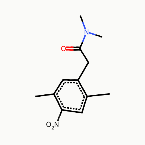 Cc1cc([N+](=O)[O-])c(C)cc1CC(=O)N(C)C